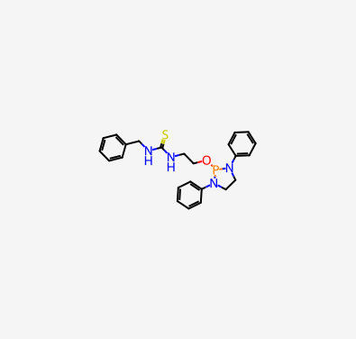 S=C(NCCOP1N(c2ccccc2)CCN1c1ccccc1)NCc1ccccc1